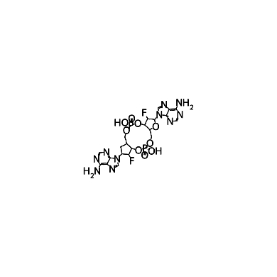 Nc1ncnc2c1ncn2C1CC2COP(=O)(O)OC3C(COP(=O)(O)OC2C1F)OC(n1cnc2c(N)ncnc21)C3F